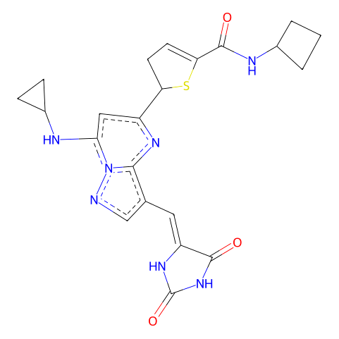 O=C1NC(=O)/C(=C/c2cnn3c(NC4CC4)cc(C4CC=C(C(=O)NC5CCC5)S4)nc23)N1